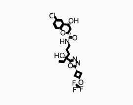 C=CC(O)(CCCNC(=O)[C@H]1C[C@@H](O)c2cc(Cl)ccc2O1)c1nnc([C@H]2C[C@@H](OC(F)(F)F)C2)o1